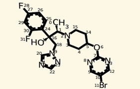 C[C@@H](N1CCC(Oc2ncc(Br)cn2)CC1)[C@](O)(Cn1cncn1)c1ccc(F)cc1F